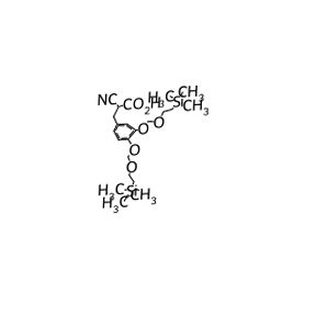 C[Si](C)(C)CCOCOc1ccc(CC(C#N)C(=O)O)cc1OCOCC[Si](C)(C)C